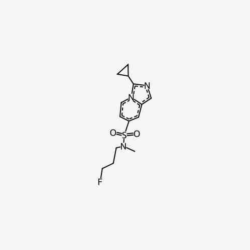 CN(CCCF)S(=O)(=O)c1ccn2c(C3CC3)ncc2c1